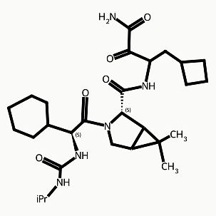 CC(C)NC(=O)N[C@H](C(=O)N1CC2C([C@H]1C(=O)NC(CC1CCC1)C(=O)C(N)=O)C2(C)C)C1CCCCC1